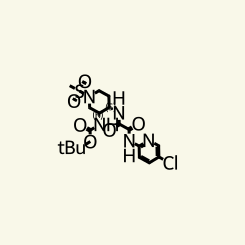 CC(C)(C)OC(=O)N[C@@H]1CN(S(C)(=O)=O)CC[C@@H]1NC(=O)C(=O)Nc1ccc(Cl)cn1